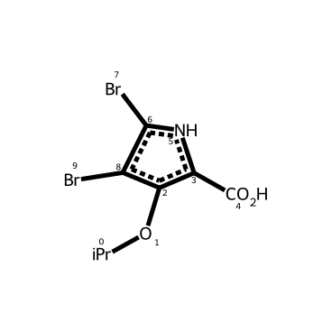 CC(C)Oc1c(C(=O)O)[nH]c(Br)c1Br